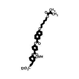 C=C(C)C(=O)OCCCCCCOc1ccc2cc(C(=O)Oc3ccc(C(=O)Oc4ccc(/C=C/C(=O)OCC)cc4OC)cc3)ccc2c1